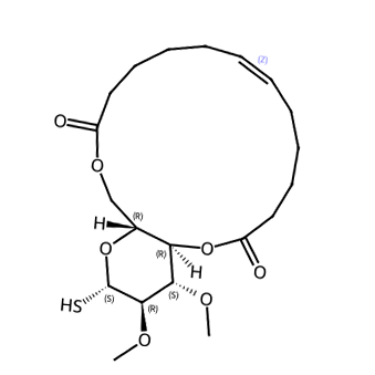 CO[C@@H]1[C@@H](OC)[C@H](S)O[C@@H]2COC(=O)CCCC/C=C\CCCCC(=O)O[C@@H]12